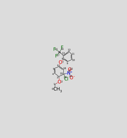 CCOC1C=CC(Oc2ccccc2C(F)(F)F)=CC1(Cl)[N+](=O)[O-]